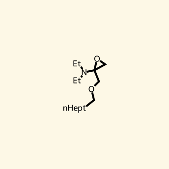 CCCCCCCCOCC1(N(CC)CC)CO1